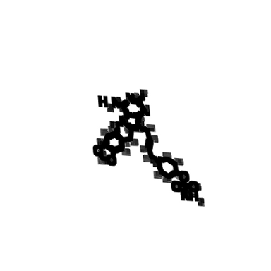 Nc1nc(F)nc2c1nc(Cc1cc3c(cc1I)OCO3)n2CC#CCN1CCC(OS(N)(=O)=O)CC1